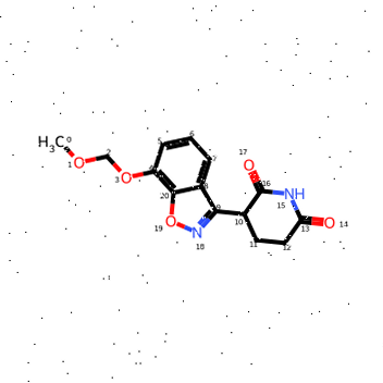 COCOc1cccc2c(C3CCC(=O)NC3=O)noc12